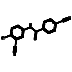 N#Cc1ccc(C(=O)Nc2ccc(Cl)c(C#N)c2)cc1